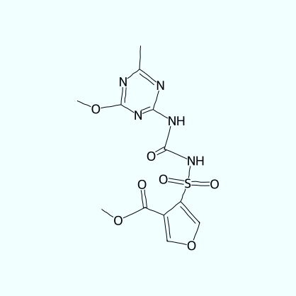 COC(=O)c1cocc1S(=O)(=O)NC(=O)Nc1nc(C)nc(OC)n1